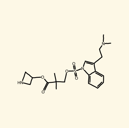 CN(C)CCc1cn(S(=O)(=O)OCC(C)(C)C(=O)OC2CNC2)c2ccccc12